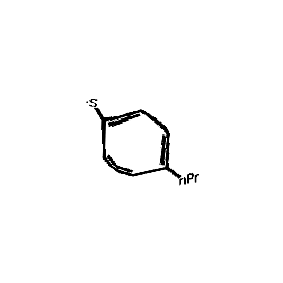 CCCc1ccc([S])cc1